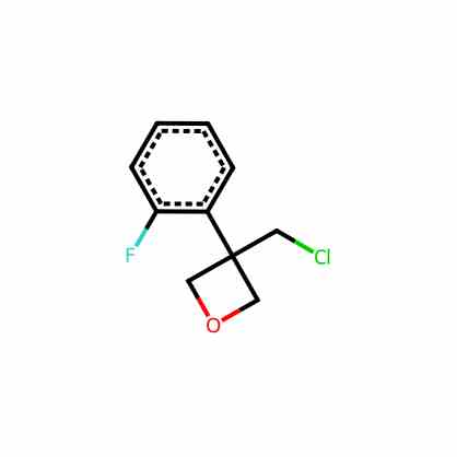 Fc1ccccc1C1(CCl)COC1